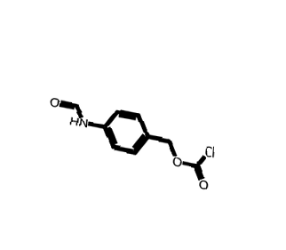 O=CNc1ccc(COC(=O)Cl)cc1